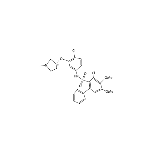 COc1cc(-c2ccccc2)c(S(=O)(=O)Nc2ccc(Cl)c(O[C@@H]3CCN(C)C3)c2)c(Cl)c1OC